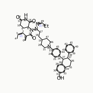 C=C(/C=C\C)C(=O)N(C1CCC(=O)NC1=O)N(CCC1CCN(c2ccc(C3c4ccc(O)cc4CCC3c3ccccc3)cc2)CC1)/N=C\CC